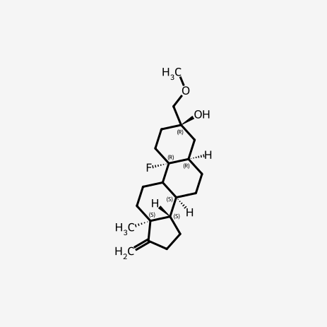 C=C1CC[C@H]2[C@@H]3CC[C@@H]4C[C@@](O)(COC)CC[C@]4(F)C3CC[C@]12C